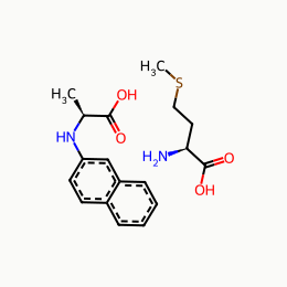 CSCC[C@H](N)C(=O)O.C[C@H](Nc1ccc2ccccc2c1)C(=O)O